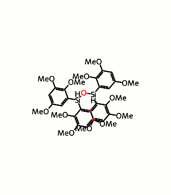 COc1cc(OC)c(OC)c([SiH](O[SiH](c2cc(OC)cc(OC)c2OC)c2cc(OC)cc(OC)c2OC)c2cc(OC)cc(OC)c2OC)c1